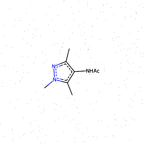 CC(=O)Nc1c(C)nn(C)c1C